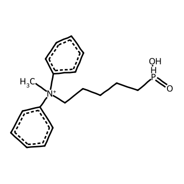 C[N+](CCCCC[PH](=O)O)(c1ccccc1)c1ccccc1